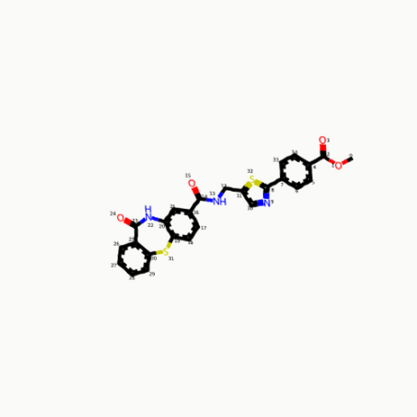 COC(=O)c1ccc(-c2ncc(CNC(=O)c3ccc4c(c3)NC(=O)c3ccccc3S4)s2)cc1